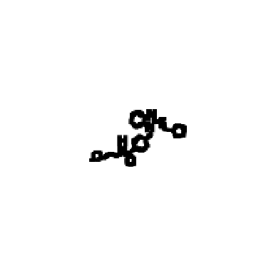 COCCCNC(=O)c1ccc(Cn2c(SCC3CCCC3)nc3ccccc32)cc1